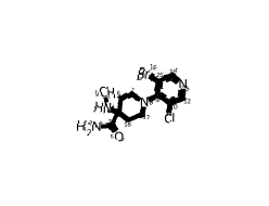 CNC1(C(N)=O)CCN(c2c(Cl)cncc2Br)CC1